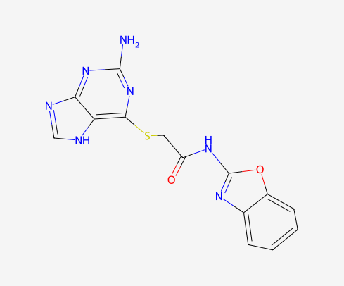 Nc1nc(SCC(=O)Nc2nc3ccccc3o2)c2[nH]cnc2n1